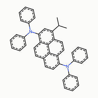 CC(C)c1cc(N(c2ccccc2)c2ccccc2)c2ccc3ccc(N(c4ccccc4)c4ccccc4)c4ccc1c2c34